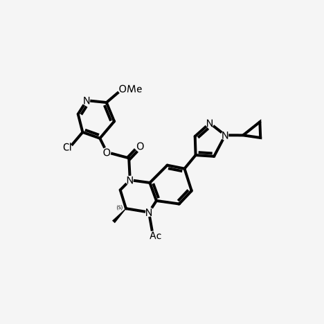 COc1cc(OC(=O)N2C[C@H](C)N(C(C)=O)c3ccc(-c4cnn(C5CC5)c4)cc32)c(Cl)cn1